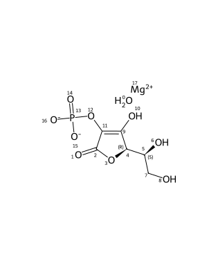 O.O=C1O[C@H]([C@@H](O)CO)C(O)=C1OP(=O)([O-])[O-].[Mg+2]